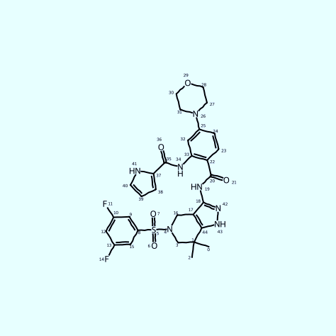 CC1(C)CN(S(=O)(=O)c2cc(F)cc(F)c2)Cc2c(NC(=O)c3ccc(N4CCOCC4)cc3NC(=O)c3ccc[nH]3)n[nH]c21